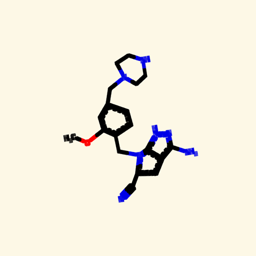 COc1cc(CN2CCNCC2)ccc1Cn1c(C#N)cc2c(N)n[nH]c21